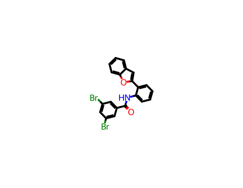 O=C(Nc1ccccc1-c1cc2ccccc2o1)c1cc(Br)cc(Br)c1